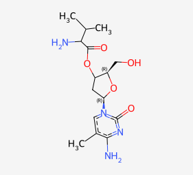 Cc1cn([C@H]2CC(OC(=O)C(N)C(C)C)[C@@H](CO)O2)c(=O)nc1N